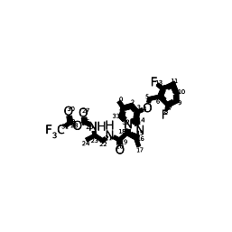 Cc1cc(OCc2c(F)cccc2F)c2nc(C)c(C(=O)NCC(C)NC(=O)OC(=O)C(F)(F)F)n2c1